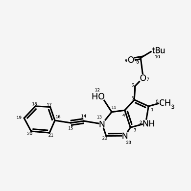 Cc1[nH]c2c(c1COC(=O)C(C)(C)C)C(O)N(C#Cc1ccccc1)C=N2